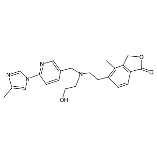 Cc1cn(-c2ccc(CN(CCO)CCc3ccc4c(c3C)COC4=O)cn2)cn1